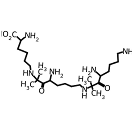 CC(C)(NCCCCC(N)C(=O)C(C)(C)NCCCCC(N)C(=O)O)C(=O)C(N)CCCCN